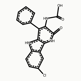 O=C(O)Nc1c(-c2ccccc2)c2[nH]c3ccc(Cl)cc3c2[nH]c1=O